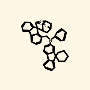 c1ccc(N(Cc2cccc3c2C2(c4ccccc4-3)C3CCC4CC(C3)CC2C4)c2ccc3c(c2)C2(CCCCC2)c2ccccc2-3)cc1